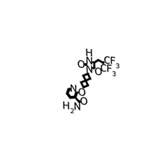 NC(=O)c1cccnc1OC1CC2(C1)CC(N1C(=O)NC(CC(C(F)(F)F)C(F)(F)F)C1=O)C2